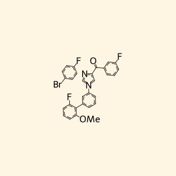 COc1cccc(F)c1-c1cccc(-n2cnc(C(=O)c3cccc(F)c3)c2)c1.Fc1ccc(Br)cc1